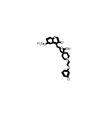 COc1ccc2ncc(Cl)c(CCCC3(C(=O)O)CCN(CCSc4cccc(Cl)c4)CC3)c2c1